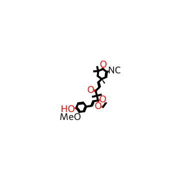 [C-]#[N+]C1=C[C@](C)(/C=C/C(=O)C(C)(C)C2(/C=C/c3ccc(O)c(OC)c3)OCCO2)CC(C)(C)C1=O